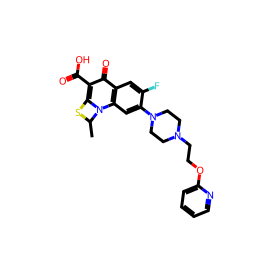 CC1Sc2c(C(=O)O)c(=O)c3cc(F)c(N4CCN(CCOc5ccccn5)CC4)cc3n21